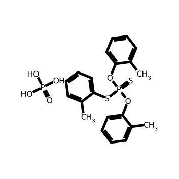 Cc1ccccc1OP(=S)(Oc1ccccc1C)Sc1ccccc1C.O=P(O)(O)O